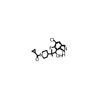 CC(C)(C1CCN(C(=O)C2CC2)CC1)C(O)c1c(F)c(Cl)cc2cn[nH]c12